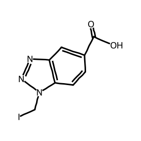 O=C(O)c1ccc2c(c1)nnn2CI